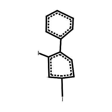 Ic1[c]c(I)c(-c2ccccc2)cc1